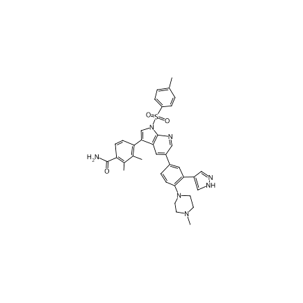 Cc1ccc(S(=O)(=O)n2cc(-c3ccc(C(N)=O)c(C)c3C)c3cc(-c4ccc(N5CCN(C)CC5)c(-c5cn[nH]c5)c4)cnc32)cc1